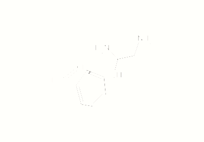 C=C.CC(N)CN.c1ccccc1